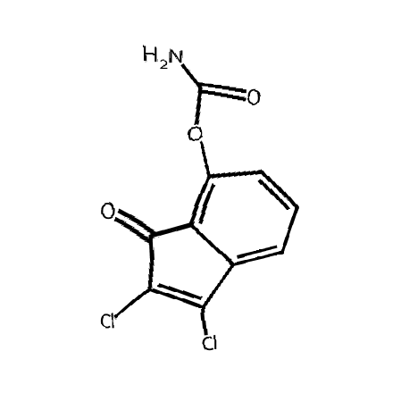 NC(=O)Oc1cccc2c1C(=O)C(Cl)=C2Cl